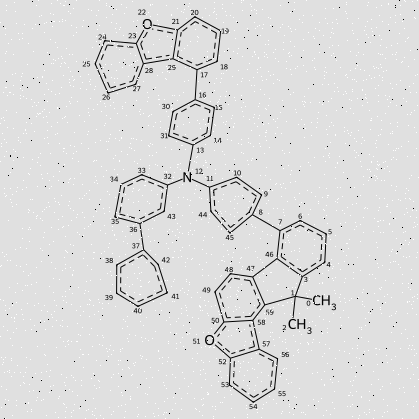 CC1(C)c2cccc(-c3ccc(N(c4ccc(-c5cccc6oc7ccccc7c56)cc4)c4cccc(-c5ccccc5)c4)cc3)c2-c2ccc3oc4ccccc4c3c21